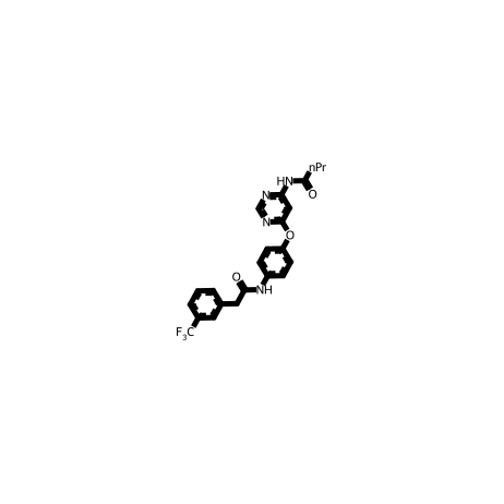 CCCC(=O)Nc1cc(Oc2ccc(NC(=O)Cc3cccc(C(F)(F)F)c3)cc2)ncn1